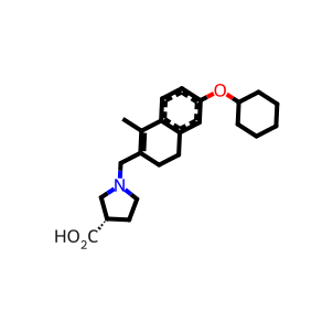 CC1=C(CN2CC[C@H](C(=O)O)C2)CCc2cc(OC3CCCCC3)ccc21